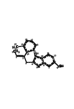 C/C=C(/Cc1nc2cc(CCCC)ccc2[nH]1)c1ccccc1C